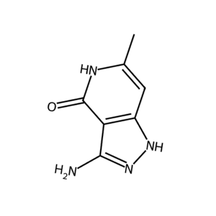 Cc1cc2[nH]nc(N)c2c(=O)[nH]1